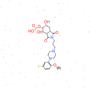 CC(C)Oc1ccc(F)cc1N1CCN(CCCN2C(=O)C3CC(O)C(OP(=O)(O)O)CC3C2=O)CC1